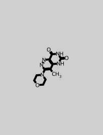 Cc1c(N2CCOCC2)nnc2c(=O)[nH]c(=O)[nH]c12